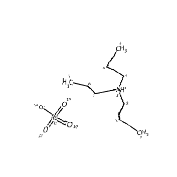 CCC[NH+](CCC)CCC.[O]=[Ru](=[O])(=[O])[O-]